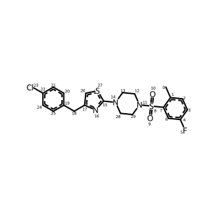 Cc1ccc(F)cc1S(=O)(=O)N1CCN(c2nc(Cc3ccc(Cl)cc3)cs2)CC1